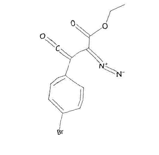 CCOC(=O)C(=[N+]=[N-])C(=C=O)c1ccc(Br)cc1